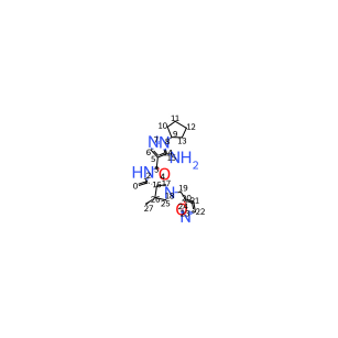 C=C(NC(=O)c1cnn(C2CCCC2)c1N)[C@@H]1CN(Cc2ccno2)C[C@H]1C